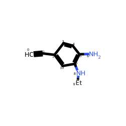 C#Cc1ccc(N)c(NCC)c1